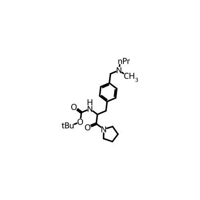 CCCN(C)Cc1ccc(CC(NC(=O)OC(C)(C)C)C(=O)N2CCCC2)cc1